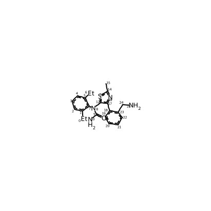 CCc1cccc(CC)c1N(C(N)=O)c1sc(C)nc1-c1ccccc1CN